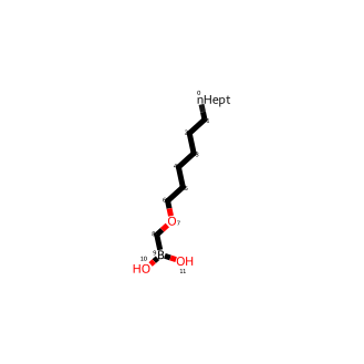 CCCCCCCCCCCCCOCB(O)O